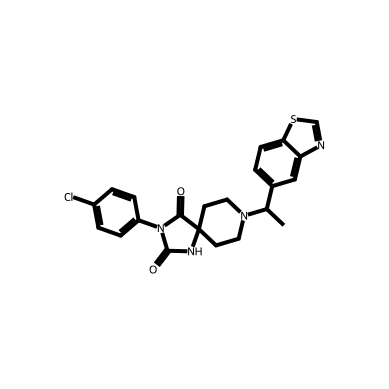 CC(c1ccc2scnc2c1)N1CCC2(CC1)NC(=O)N(c1ccc(Cl)cc1)C2=O